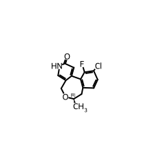 C[C@@H]1Cc2ccc(Cl)c(F)c2-c2cc(=O)[nH]cc2CO1